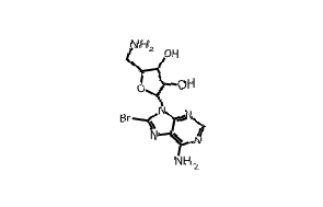 NCC1OC(n2c(Br)nc3c(N)ncnc32)C(O)C1O